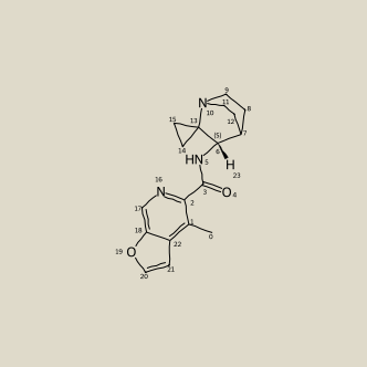 Cc1c(C(=O)N[C@H]2C3CCN(CC3)C23CC3)ncc2occc12